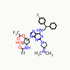 CCC(=O)N[C@H]1C[C@@H](n2cnc3c(NCC(c4ccccc4)c4ccc(F)cc4)nc(N4CC[C@@H](N(C)C)C4)nc32)[C@H](OC(=O)C(F)(F)F)[C@@H]1O